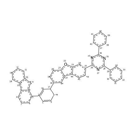 C1=CC(c2cccc3c2sc2ccccc23)=CC(c2ccc3oc4cc(-c5nc(-c6ccccc6)nc(-c6ccccc6)n5)ccc4c3c2)C1